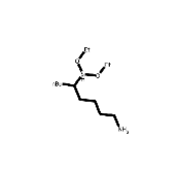 CCCCC(CCCCN)[SiH](OCC)OCC